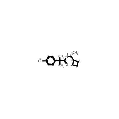 C[C@@H](NC(=O)C(C)(C)c1ccc(S)cc1)C1CCC1